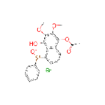 COc1c(OC)c(O)c2c([S+]([O-])c3ccccc3Br)cccc2c1OC(C)=O